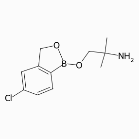 CC(C)(N)COB1OCc2cc(Cl)ccc21